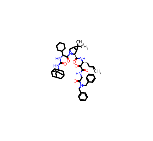 C=CCC[C@@H](NC(=O)[C@@H]1C2C(CN1C(=O)[C@@H](NC(=O)NC13CC4CC(CC(C4)C1)C3)C1CCCCC1)C2(C)C)C(=O)C(=O)NCC(=O)N(Cc1ccccc1)Cc1ccccc1